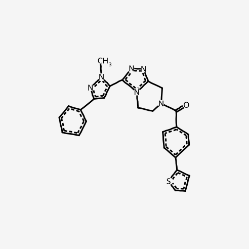 Cn1nc(-c2ccccc2)cc1-c1nnc2n1CCN(C(=O)c1ccc(-c3cccs3)cc1)C2